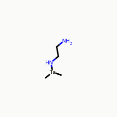 [CH3][Ta]([CH3])[NH]CCN